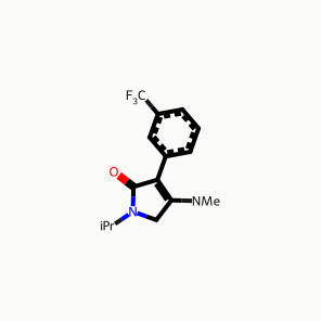 CNC1=C(c2cccc(C(F)(F)F)c2)C(=O)N(C(C)C)C1